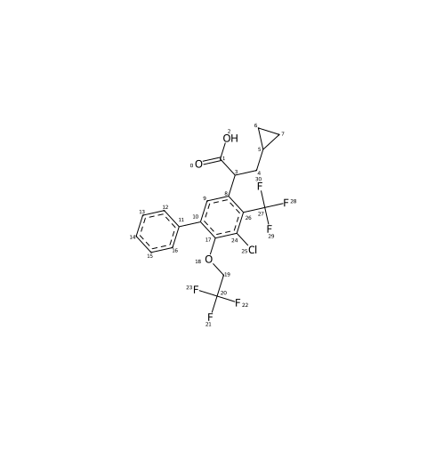 O=C(O)C(CC1CC1)c1cc(-c2ccccc2)c(OCC(F)(F)F)c(Cl)c1C(F)(F)F